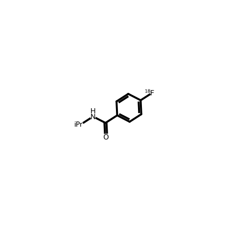 CC(C)NC(=O)c1ccc([18F])cc1